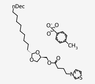 CCCCCCCCCCCCCCCCCCC[C@H]1OC[C@H](COC(=O)CCC[n+]2ccsc2)O1.Cc1ccc(S(=O)(=O)[O-])cc1